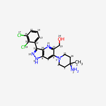 CC1(N)CCN(c2cc3[nH]nc(-c4cccc(Cl)c4Cl)c3nc2CO)CC1